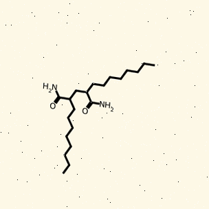 CCCCCCCCC(CC(CCCCCCCC)C(N)=O)C(N)=O